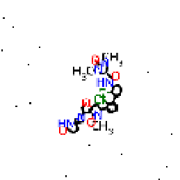 COc1nc(-c2cccc(-c3cccc(NC(=O)C4=CN(C)C(=O)N(C)C4)c3Cl)c2Cl)cc2c1C(N1CC3(CCC(=O)N3)C1)CO2